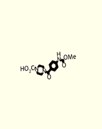 COC(=O)Nc1ccc(C(=O)N2CCN(C(=O)O)CC2)cc1